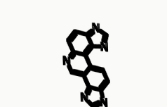 C1=Nc2ccc3c(cnc4ccc5c(c43)N=CN=5)c2=N1